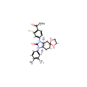 CNC(=O)c1ccc(N2C(=O)N(c3ccc(C#N)c(C(F)(F)F)c3)[C@@H]3CCC4(C[C@@H]32)OCCO4)cc1F